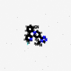 [2H]C([2H])([2H])n1cnnc1C1CCN(c2c(C#N)cccc2-c2ccc(F)nc2)CC1